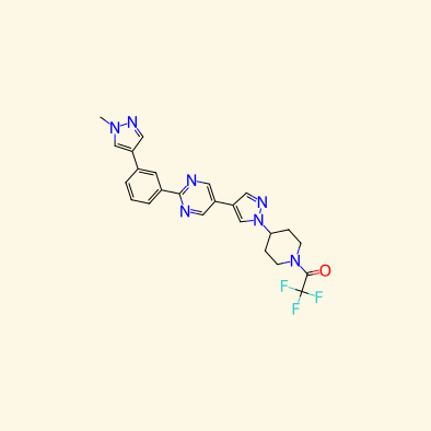 Cn1cc(-c2cccc(-c3ncc(-c4cnn(C5CCN(C(=O)C(F)(F)F)CC5)c4)cn3)c2)cn1